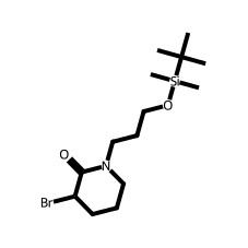 CC(C)(C)[Si](C)(C)OCCCN1CCCC(Br)C1=O